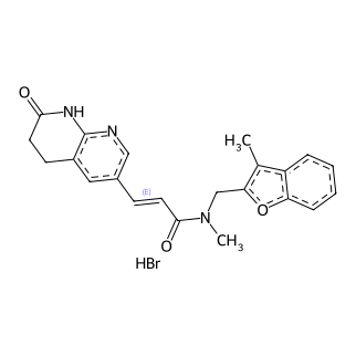 Br.Cc1c(CN(C)C(=O)/C=C/c2cnc3c(c2)CCC(=O)N3)oc2ccccc12